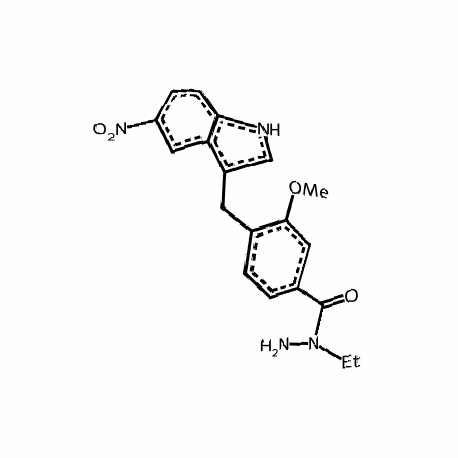 CCN(N)C(=O)c1ccc(Cc2c[nH]c3ccc([N+](=O)[O-])cc23)c(OC)c1